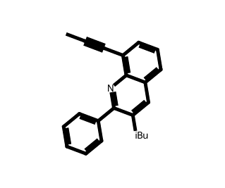 CC#Cc1cccc2cc(C(C)CC)c(-c3ccccc3)nc12